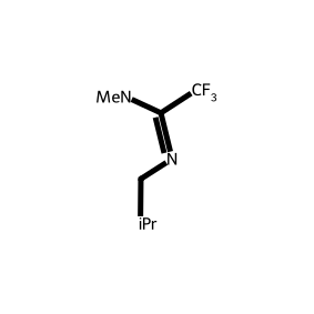 CN/C(=N\CC(C)C)C(F)(F)F